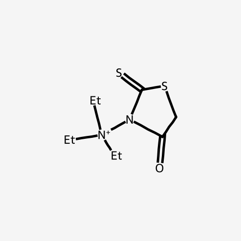 CC[N+](CC)(CC)N1C(=O)CSC1=S